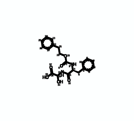 O=C(N[C@@H](Cc1ccccc1)C(=O)NC(O)C(=O)O)OCCc1ccccc1